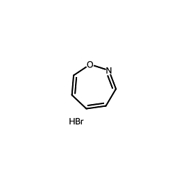 Br.C1=CC=NOC=C1